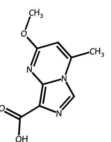 COc1cc(C)n2cnc(C(=O)O)c2n1